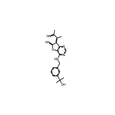 CC(=N)/C(C)=C1\C(=N)Oc2c(NCc3cccc(C(C)(C)O)c3)ncnc21